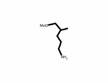 COCC(C)CCCN